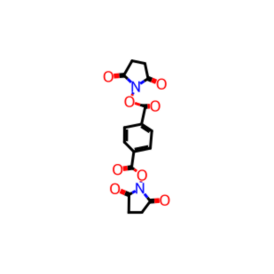 O=C(ON1C(=O)CCC1=O)c1ccc(C(=O)ON2C(=O)CCC2=O)cc1